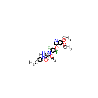 COc1cc2nccc(Oc3cc(F)c(NC(=O)C(C)(C)C(=O)Nc4ccc(C)cc4)cc3F)c2cc1OC